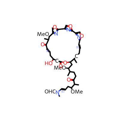 COC(CC1OC(=O)CC(O)C/C=C/C(=O)C(C)C(OC)c2coc(n2)-c2coc(n2)-c2coc(n2)/C=C/CCC1C)C(C)CCC(=O)C(C)C(C/C=C/N(C)C=O)OC